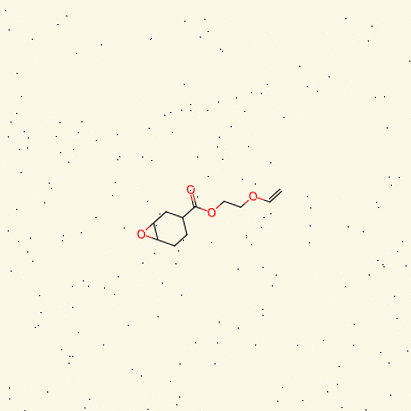 C=COCCOC(=O)C1CCC2OC2C1